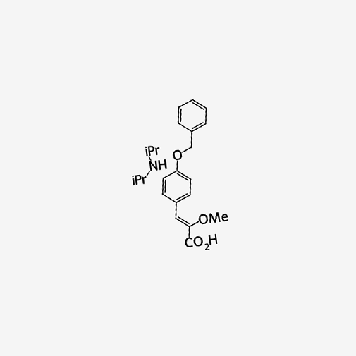 CC(C)NC(C)C.CO/C(=C\c1ccc(OCc2ccccc2)cc1)C(=O)O